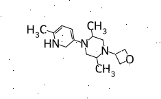 CC1=CC=C(N2CC(C)N(C3COC3)CC2C)CN1